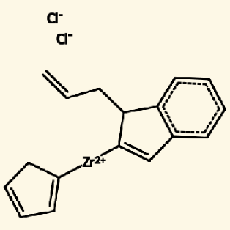 C=CCC1[C]([Zr+2][C]2=CC=CC2)=Cc2ccccc21.[Cl-].[Cl-]